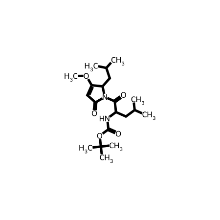 COC1=CC(=O)N(C(=O)C(CC(C)C)NC(=O)OC(C)(C)C)C1CC(C)C